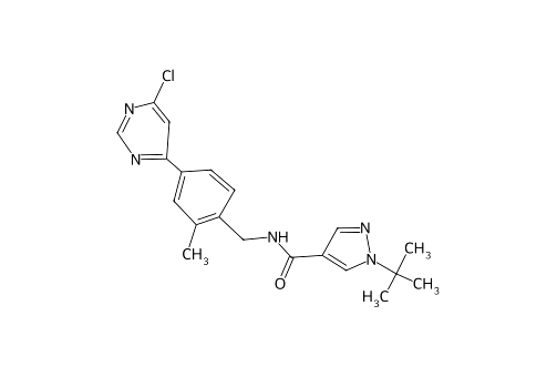 Cc1cc(-c2cc(Cl)ncn2)ccc1CNC(=O)c1cnn(C(C)(C)C)c1